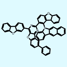 C1=CC2Oc3ccc(-c4nc(-c5ccc6c(c5)oc5ccccc56)c5oc6ccc(-c7ccccc7)cc6c5n4)c(-n4c5ccccc5c5cc6ccccc6cc54)c3C2C=C1